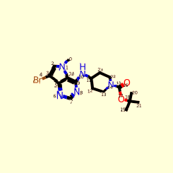 Cn1cc(Br)c2ncnc(NC3CCN(C(=O)OC(C)(C)C)CC3)c21